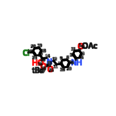 CC(=O)OOc1ccc(Nc2ccc(CCN(C[C@H](O)c3cccc(Cl)c3)C(=O)OC(C)(C)C)cc2)cc1